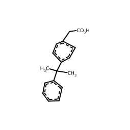 CC(C)(c1ccccc1)c1ccc(CC(=O)O)cc1